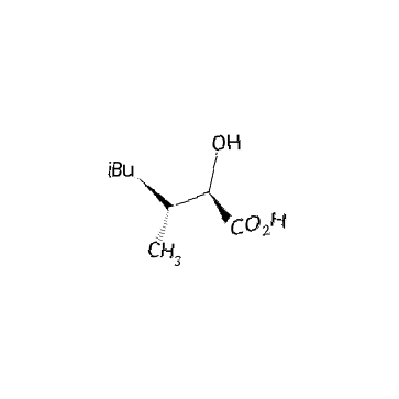 CC[C@H](C)[C@@H](C)[C@@H](O)C(=O)O